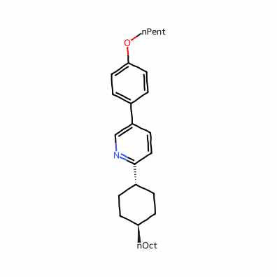 CCCCCCCC[C@H]1CC[C@H](c2ccc(-c3ccc(OCCCCC)cc3)cn2)CC1